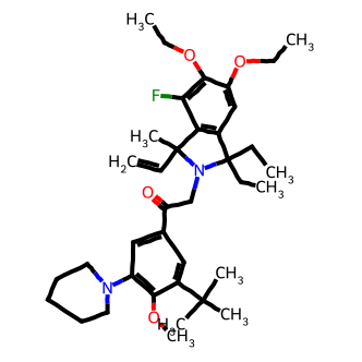 C=CC1(C)c2c(cc(OCC)c(OCC)c2F)C(CC)(CC)N1CC(=O)c1cc(N2CCCCC2)c(OC)c(C(C)(C)C)c1